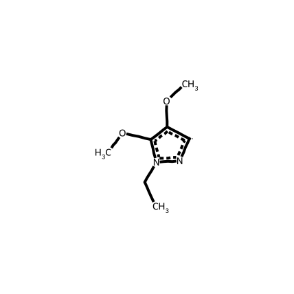 CCn1n[c]c(OC)c1OC